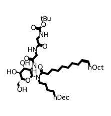 CCCCCCCC/C=C\CCCCCCCC(=O)N(CCCCCCCCCCCCCC)[C@@H]1O[C@H](CO)[C@@H](O)[C@H](O)[C@H]1NC(=O)CNC(=O)CNC(=O)OC(C)(C)C